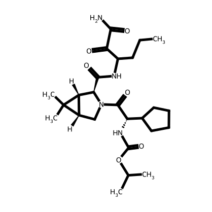 CCCC(NC(=O)[C@@H]1[C@@H]2[C@H](CN1C(=O)[C@@H](NC(=O)OC(C)C)C1CCCC1)C2(C)C)C(=O)C(N)=O